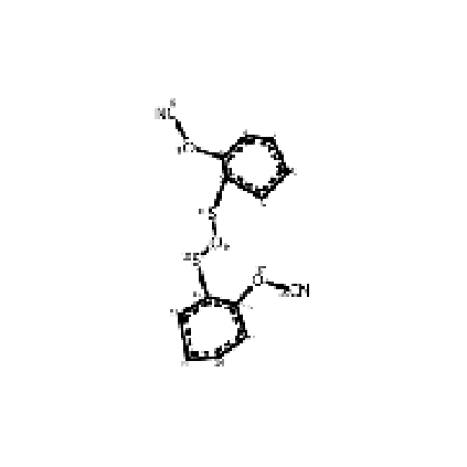 N#COc1ccccc1SOSc1ccccc1OC#N